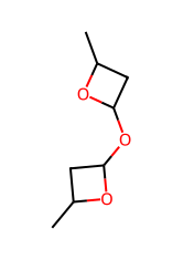 CC1CC(OC2CC(C)O2)O1